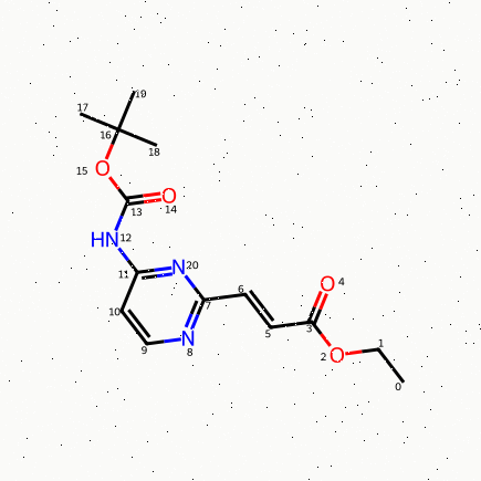 CCOC(=O)C=Cc1nccc(NC(=O)OC(C)(C)C)n1